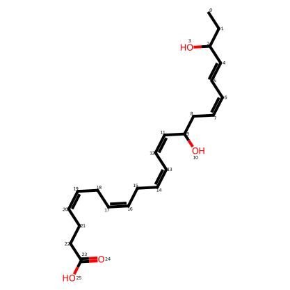 CCC(O)/C=C/C=C\CC(O)/C=C\C=C/C/C=C\C/C=C\CCC(=O)O